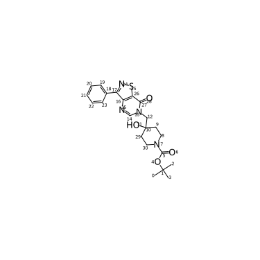 CC(C)(C)OC(=O)N1CCC(O)(Cn2cnc3c(-c4ccccc4)nsc3c2=O)CC1